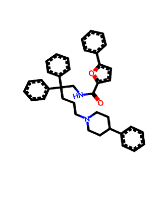 O=C(NCC(CCCN1CCC(c2ccccc2)CC1)(c1ccccc1)c1ccccc1)c1ccc(-c2ccccc2)o1